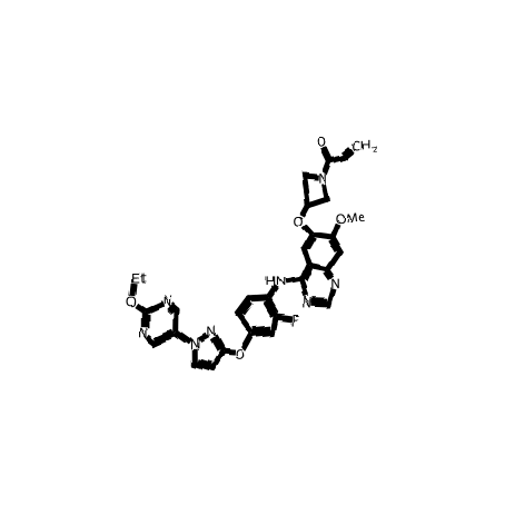 C=CC(=O)N1CC(Oc2cc3c(Nc4ccc(Oc5ccn(-c6cnc(OCC)nc6)n5)cc4F)ncnc3cc2OC)C1